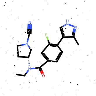 CCN(C(=O)c1ccc(-c2c[nH]nc2C)c(F)c1)[C@@H]1CCN(C#N)C1